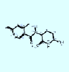 C=C(N)/C=C(C)\C(=C/C)C(=O)N(CC)C1CCC(O)NC1=O